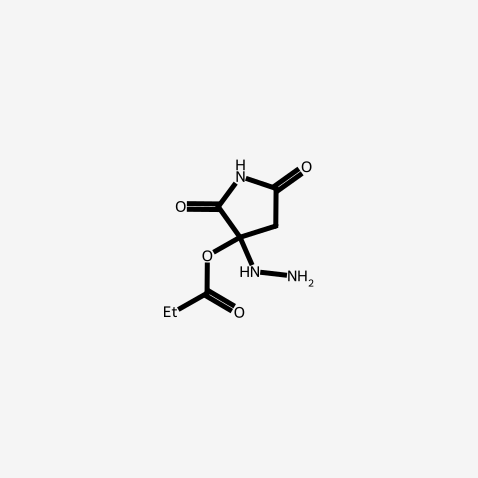 CCC(=O)OC1(NN)CC(=O)NC1=O